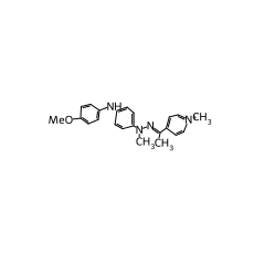 COc1ccc(Nc2ccc(N(C)/N=C(\C)c3cc[n+](C)cc3)cc2)cc1